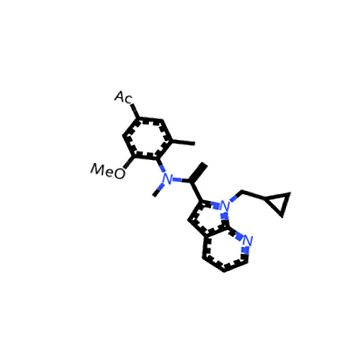 C=C(c1cc2cccnc2n1CC1CC1)N(C)c1c(C)cc(C(C)=O)cc1OC